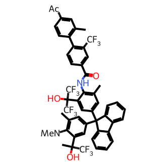 CNc1c(C)cc(C2(c3cc(C)c(NC(=O)c4ccc(-c5ccc(C(C)=O)cc5C)c(C(F)(F)F)c4)c(C(O)(C(F)(F)F)C(F)(F)F)c3)c3ccccc3-c3ccccc32)cc1C(C)(O)C(F)(F)F